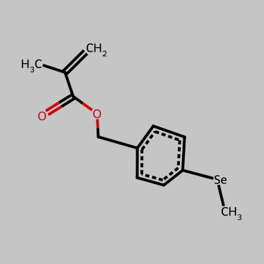 C=C(C)C(=O)OCc1ccc([Se]C)cc1